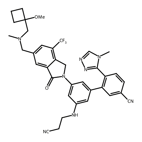 COC1(CN(C)Cc2cc3c(c(C(F)(F)F)c2)CN(c2cc(NCCC#N)cc(-c4cc(C#N)ccc4-c4nncn4C)c2)C3=O)CCC1